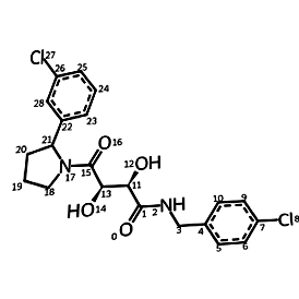 O=C(NCc1ccc(Cl)cc1)[C@H](O)[C@@H](O)C(=O)N1CCCC1c1cccc(Cl)c1